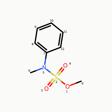 COS(=O)(=O)N(C)c1ccccc1